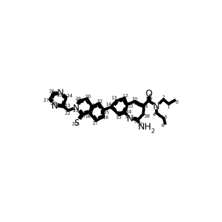 CCCN(CCC)C(=O)C1=Cc2ccc(-c3ccc4c(=S)n(Cc5cnccn5)ccc4c3)cc2N=C(N)C1